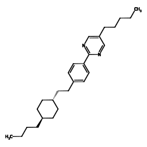 CCCCCc1cnc(-c2ccc(CC[C@H]3CC[C@H](CCCC)CC3)cc2)nc1